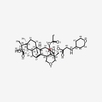 CC(=O)O[C@@H]1C[C@@]23COC[C@](C)([C@@H]2CC[C@H]2C3=CC[C@@]3(C)[C@H](C(=O)O)[C@@](C)([C@H](C)C(C)C)CC[C@]23C)[C@H]1OC(=O)CNC1CCOCC1